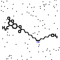 CCCCCC/C=C\CCCCCCCC(=O)Oc1ccc2c(C)cc(=O)oc2c1